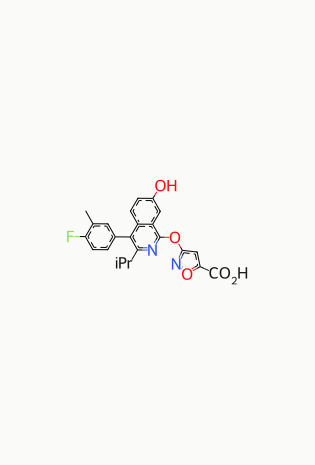 Cc1cc(-c2c(C(C)C)nc(Oc3cc(C(=O)O)on3)c3cc(O)ccc23)ccc1F